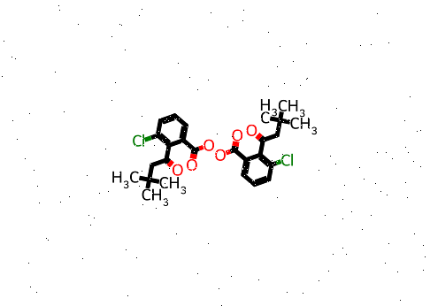 CC(C)(C)CC(=O)c1c(Cl)cccc1C(=O)OOC(=O)c1cccc(Cl)c1C(=O)CC(C)(C)C